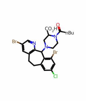 CCCCC(=O)N1CCN(C2c3ncc(Br)cc3CCc3cc(Cl)cc(Br)c32)CC1C(=O)O